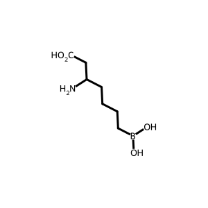 NC(CCCCB(O)O)CC(=O)O